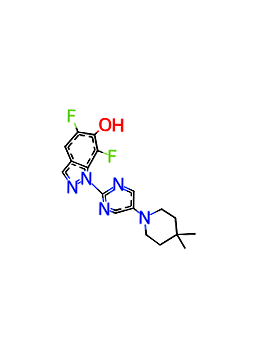 CC1(C)CCN(c2cnc(-n3ncc4cc(F)c(O)c(F)c43)nc2)CC1